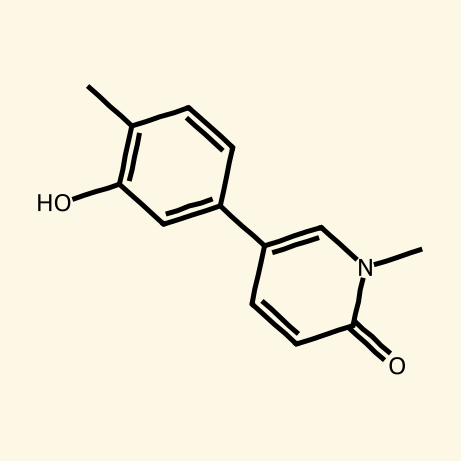 Cc1ccc(-c2ccc(=O)n(C)c2)cc1O